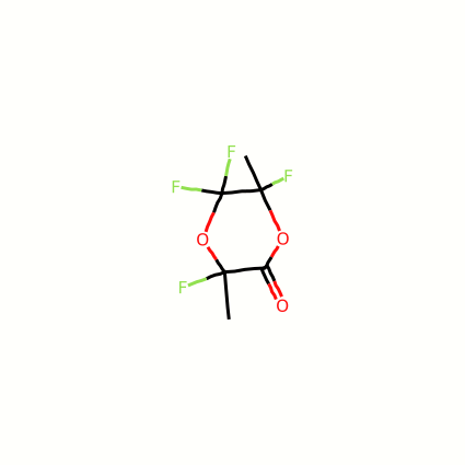 CC1(F)OC(F)(F)C(C)(F)OC1=O